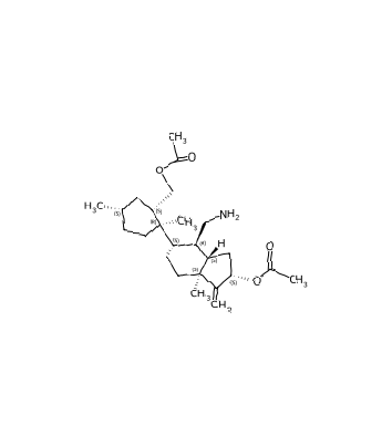 C=C1[C@@H](OC(C)=O)C[C@H]2[C@H](CN)[C@@H]([C@@]3(C)CC[C@H](C)C[C@@H]3COC(C)=O)CC[C@]12C